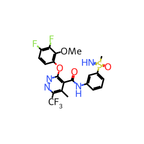 COc1c(Oc2nnc(C(F)(F)F)c(C)c2C(=O)Nc2cccc(S(C)(=N)=O)c2)ccc(F)c1F